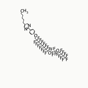 CCCCCCc1cnc(-c2ccc(OCC(F)(F)C(F)(F)C(F)(F)C(F)(F)C(F)(F)C(F)(F)C(F)(F)OC(F)(F)C(F)(F)OC(F)(F)C(F)(F)C(F)(F)C(F)(F)F)cc2)nc1